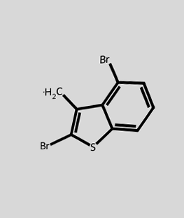 [CH2]c1c(Br)sc2cccc(Br)c12